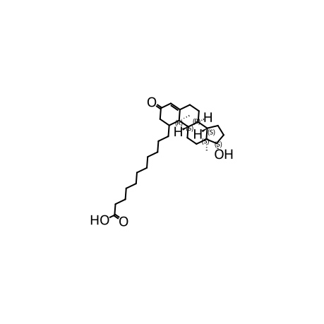 C[C@]12CC[C@H]3[C@@H](CCC4=CC(=O)CC(CCCCCCCCCCC(=O)O)[C@@]43C)[C@@H]1CC[C@@H]2O